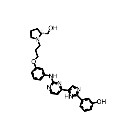 OC[C@@H]1CCCN1CCCOc1cccc(Nc2nccc(-c3cnc(-c4cccc(O)c4)[nH]3)n2)c1